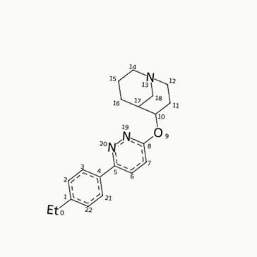 CCc1ccc(-c2ccc(OC3CCN4CCCC3C4)nn2)cc1